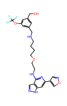 OCc1cc(CNCCCCOCCNc2nc(-c3cnoc3)cc3[nH]ncc23)cc(OC(F)(F)F)c1